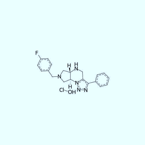 Fc1ccc(CN2C[C@@H]3NCc4c(-c5ccccc5)nnn4[C@H]3C2)cc1.OCl